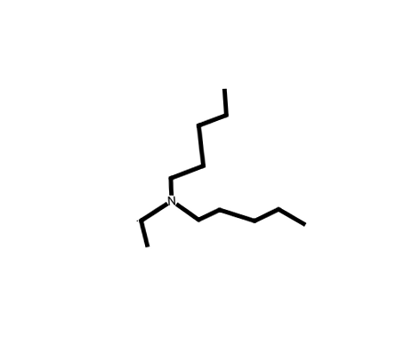 C[CH]N(CCCCC)CCCCC